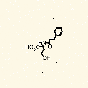 O=C(CCc1ccccc1)N[C@@H](CCO)C(=O)O